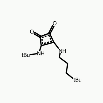 CC(C)(C)CCCNc1c(NC(C)(C)C)c(=O)c1=O